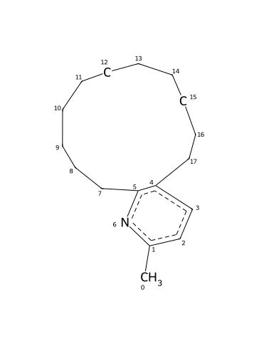 Cc1ccc2c(n1)CCCCCCCCCCC2